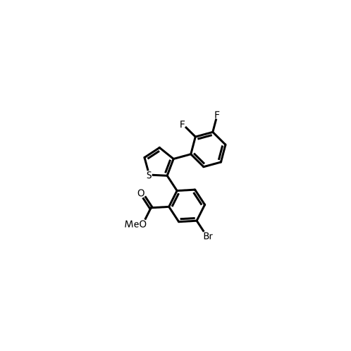 COC(=O)c1cc(Br)ccc1-c1sccc1-c1cccc(F)c1F